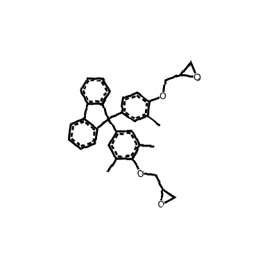 Cc1cc(C2(c3cc(C)c(OCC4CO4)c(C)c3)c3ccccc3-c3ccccc32)ccc1OCC1CO1